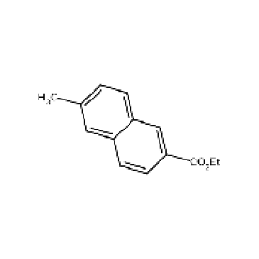 CCOC(=O)c1ccc2cc(C)ccc2c1